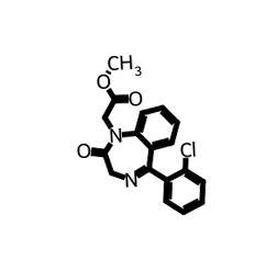 COC(=O)CN1C(=O)CN=C(c2ccccc2Cl)c2ccccc21